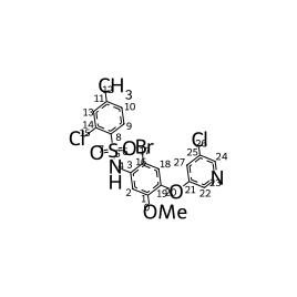 COc1cc(NS(=O)(=O)c2ccc(C)cc2Cl)c(Br)cc1Oc1cncc(Cl)c1